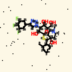 Cc1ccccc1[C@@H](S[C@@H]1O[C@H](CO)[C@H](O)[C@H](n2cc(-c3cc(F)c(F)c(F)c3)nn2)[C@H]1O)C1(O)CCN(C)CC1